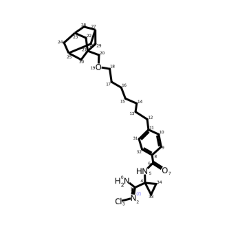 N/C(=N\Cl)C1(NC(=O)c2ccc(CCCCCCCOCC34CC5CC(CC(C5)C3)C4)cc2)CC1